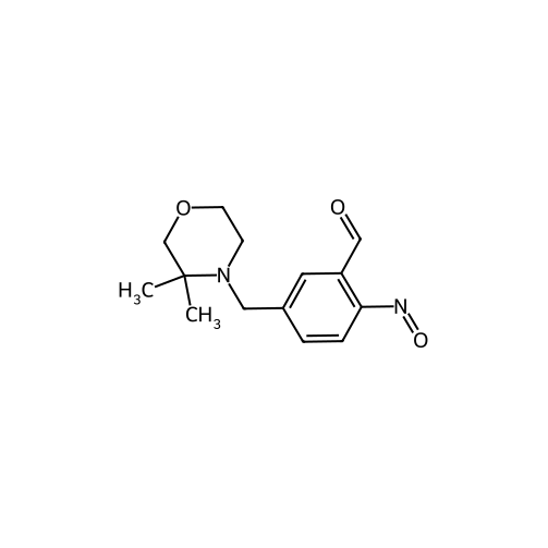 CC1(C)COCCN1Cc1ccc(N=O)c(C=O)c1